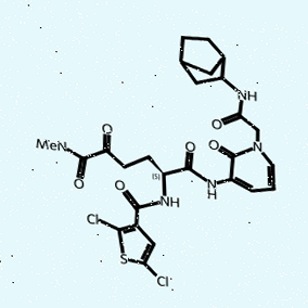 CNC(=O)C(=O)CC[C@H](NC(=O)c1cc(Cl)sc1Cl)C(=O)Nc1cccn(CC(=O)NC2CC3CCC2C3)c1=O